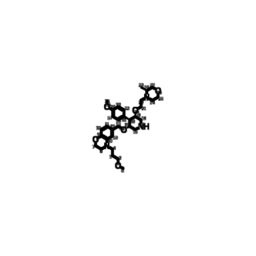 COCCCN1CCOc2ccc(CO[C@H]3CNC[C@@H](OCCN4CCOC[C@@H]4C)[C@@H]3c3ccc(OC)cc3)cc21